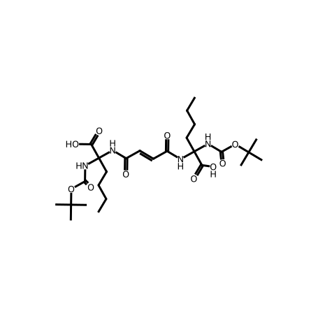 CCCCC(NC(=O)/C=C/C(=O)NC(CCCC)(NC(=O)OC(C)(C)C)C(=O)O)(NC(=O)OC(C)(C)C)C(=O)O